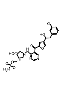 NS(=O)(=O)OC[C@H]1C[C@@H](Nc2ncncc2C(=O)c2cc(C(O)Cc3cccc(Cl)c3)co2)C[C@@H]1O